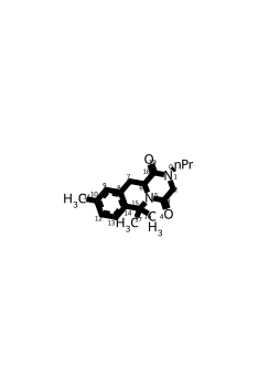 CCCN1CC(=O)N2C(Cc3cc(C)ccc3C2(C)C)C1=O